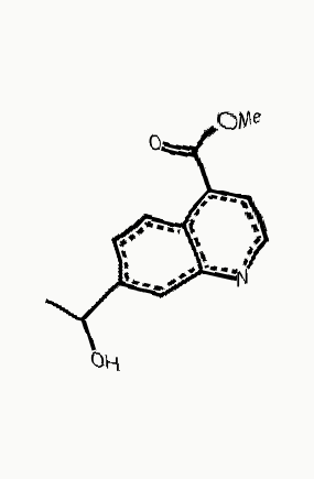 COC(=O)c1ccnc2cc(C(C)O)ccc12